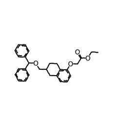 CCOC(=O)COc1cccc2c1CCC(COC(c1ccccc1)c1ccccc1)C2